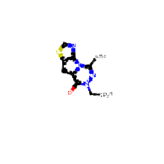 CNc1nn(CC(=O)O)c(=O)c2cc3scnc3n12